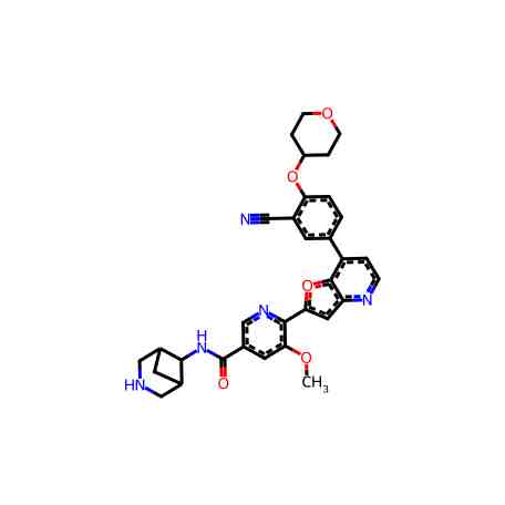 COc1cc(C(=O)NC2C3CNCC2C3)cnc1-c1cc2nccc(-c3ccc(OC4CCOCC4)c(C#N)c3)c2o1